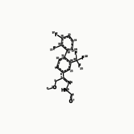 COC/C(=N\NC=O)c1ccc(-c2cccc(F)c2F)c(C(F)(F)F)c1